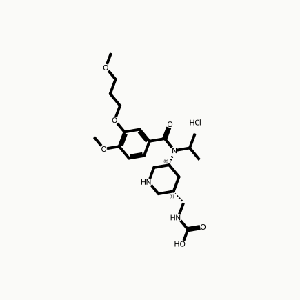 COCCCOc1cc(C(=O)N(C(C)C)[C@H]2CNC[C@@H](CNC(=O)O)C2)ccc1OC.Cl